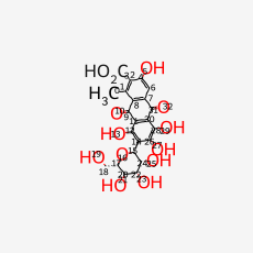 Cc1c(C(=O)O)c(O)cc2c1C(=O)c1c(O)c([C@@H]3O[C@@H](CO)[C@H](O)[C@@H](O)[C@H]3O)c(O)c(O)c1C2=O